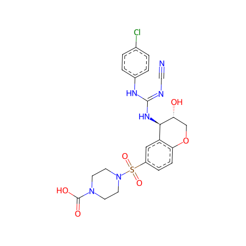 N#CN=C(Nc1ccc(Cl)cc1)N[C@@H]1c2cc(S(=O)(=O)N3CCN(C(=O)O)CC3)ccc2OC[C@H]1O